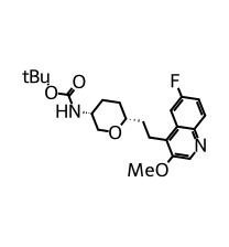 COc1cnc2ccc(F)cc2c1CC[C@H]1CC[C@@H](NC(=O)OC(C)(C)C)CO1